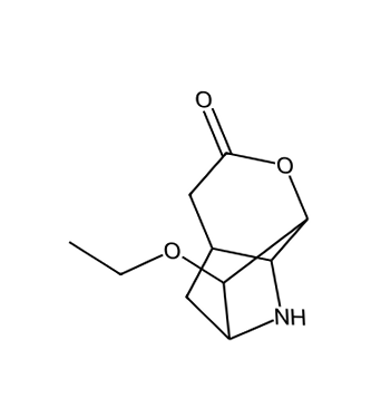 CCOC1C2CC3CC(=O)OC1C3N2